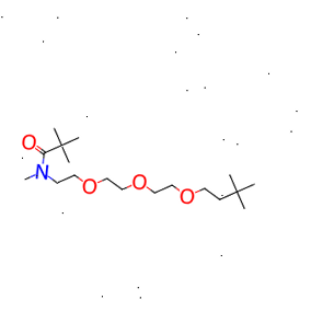 CN(CCOCCOCCOCCC(C)(C)C)C(=O)C(C)(C)C